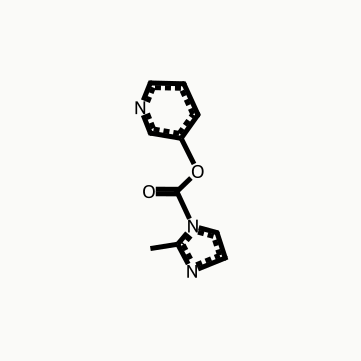 Cc1nccn1C(=O)Oc1cccnc1